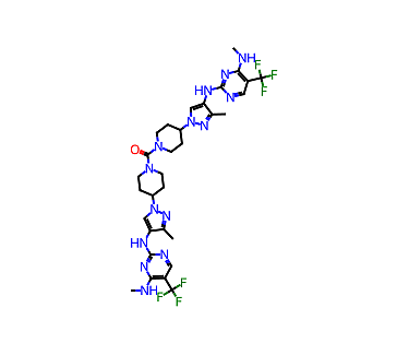 CNc1nc(Nc2cn(C3CCN(C(=O)N4CCC(n5cc(Nc6ncc(C(F)(F)F)c(NC)n6)c(C)n5)CC4)CC3)nc2C)ncc1C(F)(F)F